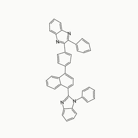 c1ccc(-c2nc3ccccc3nc2-c2ccc(-c3ccc(-c4nc5ccccc5n4-c4ccccc4)c4ccccc34)cc2)cc1